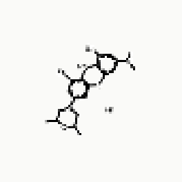 CCc1cc(N(C)C)cc2c1Nc1c(CC)cc(N3CC(C)OC(C)C3)cc1S2.I